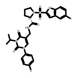 CC(C)n1c(=O)c(CNC(=O)[C@@H]2CCCN2S(=O)(=O)c2cc3cc(F)ccc3o2)cn(-c2ccc(F)cc2)c1=O